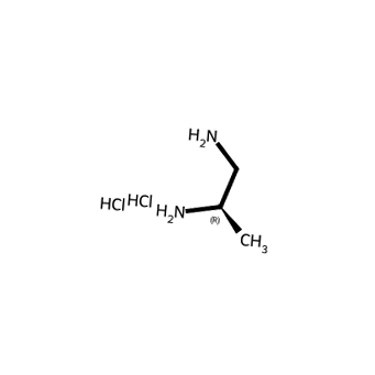 C[C@@H](N)CN.Cl.Cl